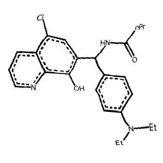 CCCC(=O)NC(c1ccc(N(CC)CC)cc1)c1cc(Cl)c2cccnc2c1O